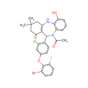 CC(=O)N1c2cccc(O)c2NC2=C(C(=O)CC(C)(C)C2)C1c1ccc(Oc2c(F)cccc2Br)cc1Cl